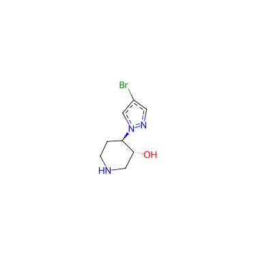 O[C@@H]1CNCC[C@H]1n1cc(Br)cn1